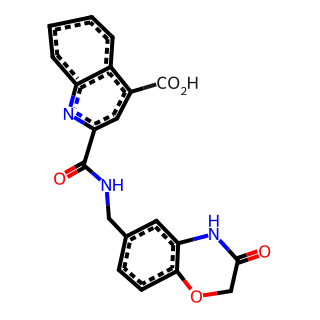 O=C1COc2ccc(CNC(=O)c3cc(C(=O)O)c4ccccc4n3)cc2N1